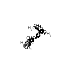 C=C/C(=C\C(=C/C)C[C@@H](CC)P(C)(=O)OCC)OCC1CCN(c2cc(OC)ccc2CCCC(C)(C)C)CC1